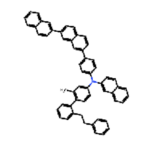 Cc1cc(N(c2ccc(-c3ccc4ccc(-c5ccc6ccccc6c5)cc4c3)cc2)c2ccc3ccccc3c2)ccc1-c1ccccc1CCc1ccccc1